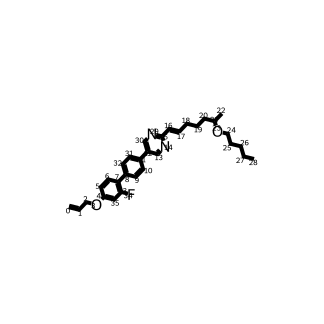 C=CCOc1ccc(-c2ccc(-c3cnc(C=CCCCC(C)OCCCCC)nc3)cc2)c(F)c1